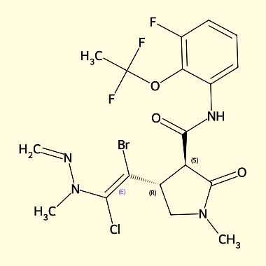 C=NN(C)/C(Cl)=C(\Br)[C@H]1CN(C)C(=O)[C@@H]1C(=O)Nc1cccc(F)c1OC(C)(F)F